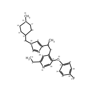 CCc1cc(CC(C)c2cn(CC3CCN(C)CC3)cn2)c(Oc2ccc(F)cc2)cn1